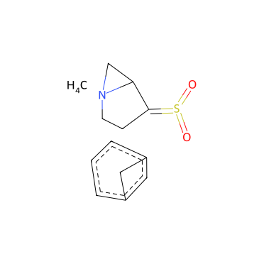 C.O=S(=O)=C1CCN2CC12.c1cc2cc(c1)C2